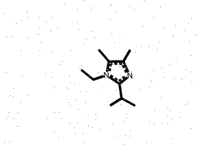 CCn1c(C(C)C)nc(C)c1C